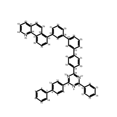 c1ccc(-c2ccc(-c3nc(-c4ccccc4)nc(-c4ccc(-c5cccc(-c6cccc(-c7cccc8c7ccc7cccnc78)c6)c5)cc4)n3)cc2)cc1